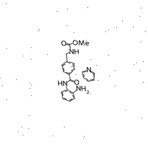 COC(=O)NCc1ccc(C(=O)Nc2ccccc2N)cc1.c1ccncc1